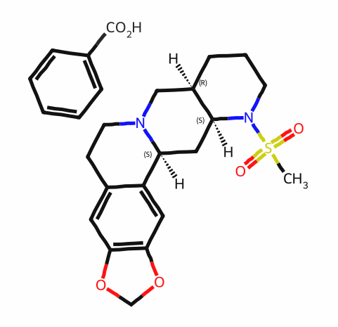 CS(=O)(=O)N1CCC[C@@H]2CN3CCc4cc5c(cc4[C@@H]3C[C@@H]21)OCO5.O=C(O)c1ccccc1